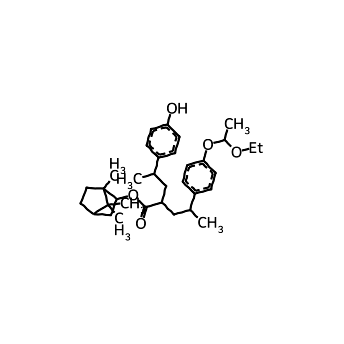 CCOC(C)Oc1ccc(C(C)CC(CC(C)c2ccc(O)cc2)C(=O)OC2CC3CCC2(C)C3(C)C)cc1